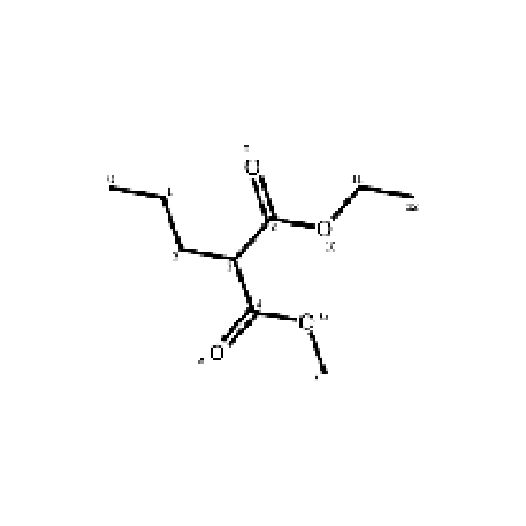 CCCC(C(=O)OC)C(=O)OCC